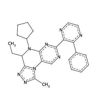 CCC1c2nnc(C)n2-c2cnc(-c3nccnc3-c3ccccc3)nc2N1C1CCCC1